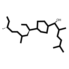 CC[C@@H](C)CCC(C)C[C@@H](CC)C1CCC([C@H](O)C(C)CCC(C)C)CC1